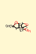 C1CCOC1.CCO.O=CC1CCCO1